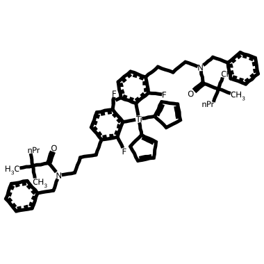 CCCC(C)(C)C(=O)N(CCCc1ccc(F)[c]([Ti]([C]2=CC=CC2)([C]2=CC=CC2)[c]2c(F)ccc(CCCN(Cc3ccccc3)C(=O)C(C)(C)CCC)c2F)c1F)Cc1ccccc1